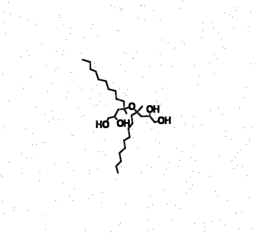 CCCCCCCCCCC(C)(CC(O)CO)OC(C)(CCCCCCCCCC)CC(O)CO